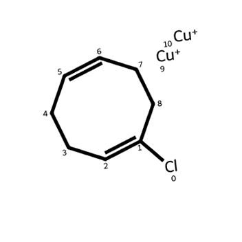 ClC1=CCCC=CCC1.[Cu+].[Cu+]